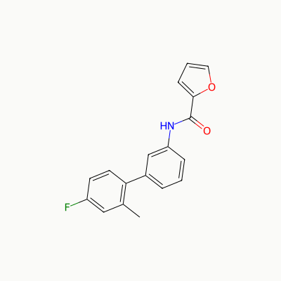 Cc1cc(F)ccc1-c1cccc(NC(=O)c2ccco2)c1